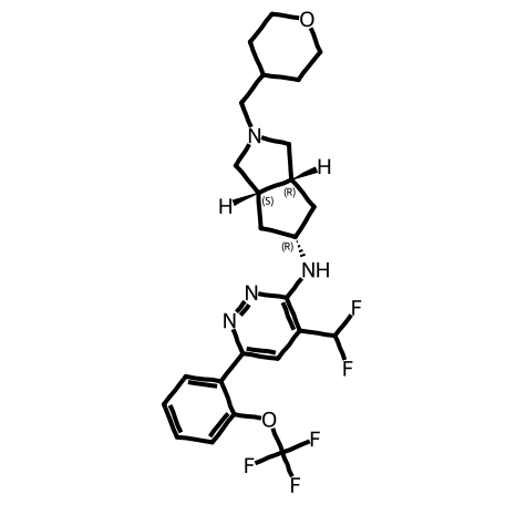 FC(F)c1cc(-c2ccccc2OC(F)(F)F)nnc1N[C@@H]1C[C@@H]2CN(CC3CCOCC3)C[C@@H]2C1